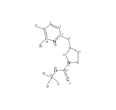 Cc1ccc(CC2CCN(C(=O)OC(C)(C)C)C2)nc1C